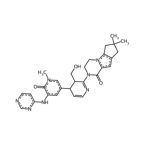 Cn1cc(C2C=CN=C(N3CCn4c(cc5c4CC(C)(C)C5)C3=O)C2CO)cc(Nc2ccncn2)c1=O